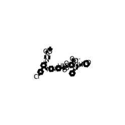 CC(C)(C)OC(=O)N1CCN(C[C@]2(C)CCC(c3ccc(Cl)cc3)=C(CN3CCN(c4ccc(C(=O)NS(=O)(=O)c5ccc(N[C@H](CCN6CCCOCC6)CSc6ccccc6)c([N+](=O)[O-])c5)cc4)CC3)C2)CC1